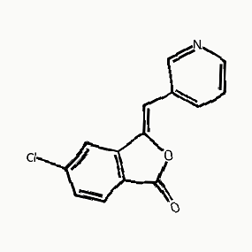 O=C1OC(=Cc2cccnc2)c2cc(Cl)ccc21